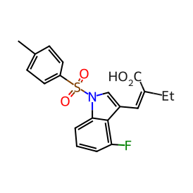 CCC(=Cc1cn(S(=O)(=O)c2ccc(C)cc2)c2cccc(F)c12)C(=O)O